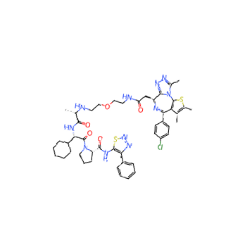 Cc1sc2c(c1C)C(c1ccc(Cl)cc1)=N[C@@H](CC(=O)NCCOCCN[C@@H](C)C(=O)N[C@H](C(=O)N1CCC[C@H]1C(=O)Nc1snnc1-c1ccccc1)C1CCCCC1)c1nnc(C)n1-2